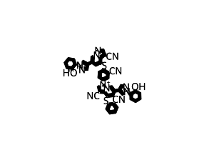 N#Cc1cc(-[n+]2cc(C#N)c3c(Sc4ccccc4C#N)cc(-c4cnn([C@@H]5CCCC[C@H]5O)c4)cn32)ccc1Sc1cc(-c2cnn([C@H]3CCCC[C@@H]3O)c2)cn2ncc(C#N)c12